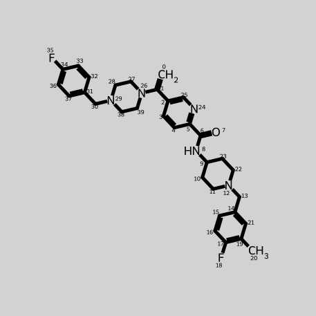 C=C(c1ccc(C(=O)NC2CCN(Cc3ccc(F)c(C)c3)CC2)nc1)N1CCN(Cc2ccc(F)cc2)CC1